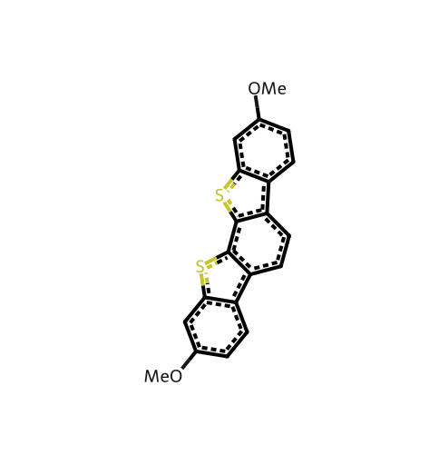 COc1ccc2c(c1)sc1c2ccc2c3ccc(OC)cc3sc21